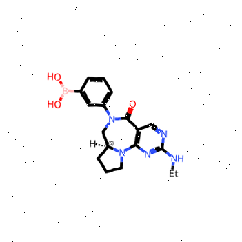 CCNc1ncc2c(n1)N1CCC[C@H]1CN(c1cccc(B(O)O)c1)C2=O